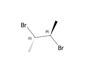 C[C@H](Br)[C@@H](C)Br